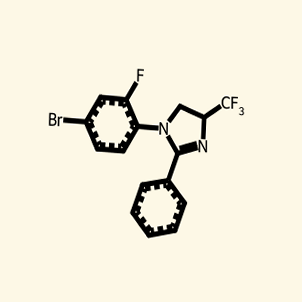 Fc1cc(Br)ccc1N1CC(C(F)(F)F)N=C1c1ccccc1